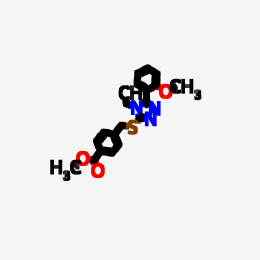 CCn1c(SCc2ccc(C(=O)OC)cc2)nnc1-c1ccccc1OC